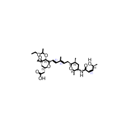 CCOC(C)O[C@@H]1[C@@H](/C=C/C(C)=C/C[C@@H]2O[C@H](C)[C@H](NC(=O)/C=C\[C@H](C)O)C[C@@H]2C)O[C@H](CC(=O)O)C[C@@]12CO2